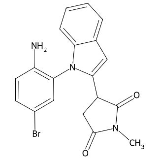 CN1C(=O)CC(c2cc3ccccc3n2-c2cc(Br)ccc2N)C1=O